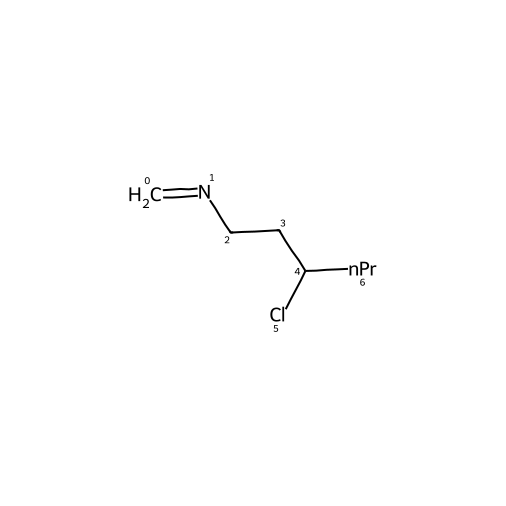 C=NCCC(Cl)CCC